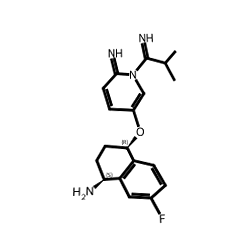 CC(C)C(=N)n1cc(O[C@@H]2CC[C@H](N)c3cc(F)ccc32)ccc1=N